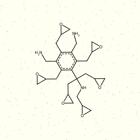 NCc1c(CC2CO2)c(CN)c(CC2CO2)c(C(CC2CO2)(CC2CO2)NCC2CO2)c1CC1CO1